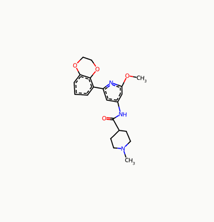 COc1cc(NC(=O)C2CCN(C)CC2)cc(-c2cccc3c2OCCO3)n1